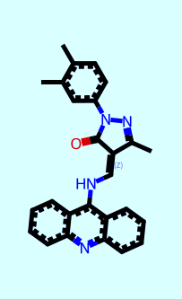 CC1=NN(c2ccc(C)c(C)c2)C(=O)/C1=C\Nc1c2ccccc2nc2ccccc12